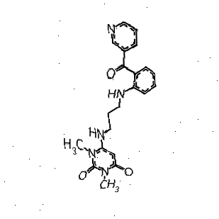 Cn1c(NCCCNc2ccccc2C(=O)c2cccnc2)cc(=O)n(C)c1=O